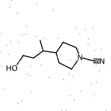 CC(CCO)C1CCN(C#N)CC1